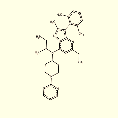 CCc1cc(N(C(C)CN)C2CCN(c3ncccn3)CC2)n2nc(C)c(-c3c(C)cccc3C)c2n1